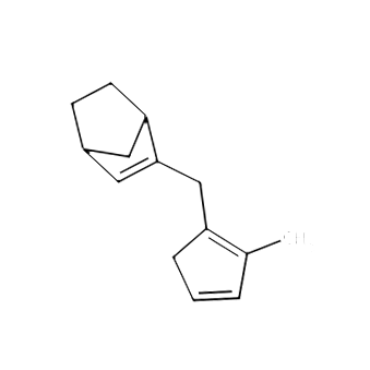 CC1=C(CC2=CC3CCC2C3)CC=C1